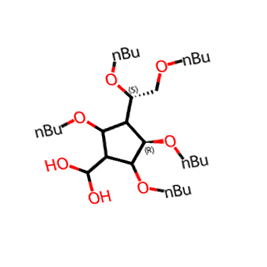 CCCCOC[C@@H](OCCCC)C1C(OCCCC)C(C(O)O)C(OCCCC)[C@@H]1OCCCC